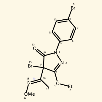 CCOC1=NN(c2ccc(Br)cc2)C(=O)C1(Br)/C(C)=N/OC